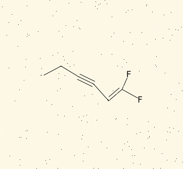 [CH2]CC#CC=C(F)F